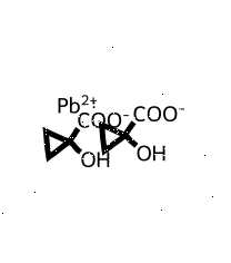 O=C([O-])C1(O)CC1.O=C([O-])C1(O)CC1.[Pb+2]